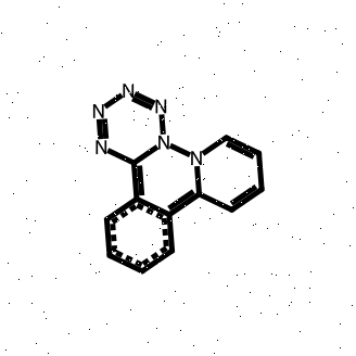 C1=CC2=c3ccccc3=C3N=NN=NN3N2C=C1